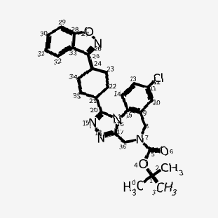 CC(C)(C)OC(=O)N1Cc2cc(Cl)ccc2-n2c(nnc2C2CCC(c3noc4ccccc34)CC2)C1